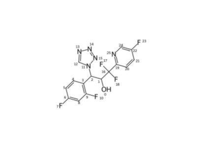 OC(C(c1ccc(F)cc1F)n1cnnn1)C(F)(F)c1ccc(F)cn1